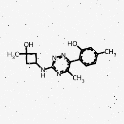 Cc1ccc(-c2nnc(NC3CC(C)(O)C3)nc2C)c(O)c1